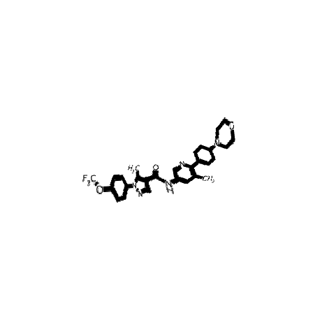 Cc1cc(NC(=O)c2cnn(-c3ccc(OC(F)(F)F)cc3)c2C)cnc1C1=CCC(N2CCOCC2)CC1